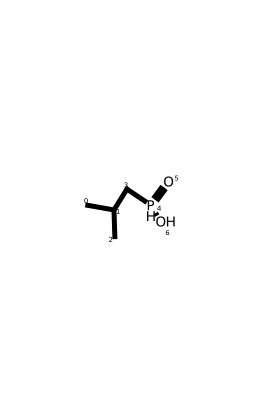 CC(C)C[PH](=O)O